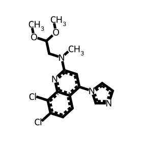 COC(CN(C)c1cc(-n2ccnc2)c2ccc(Cl)c(Cl)c2n1)OC